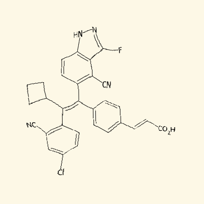 N#Cc1cc(Cl)ccc1C(=C(c1ccc(C=CC(=O)O)cc1)c1ccc2[nH]nc(F)c2c1C#N)C1CCC1